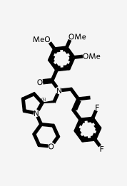 COc1cc(C(=O)N(CC(C)=Cc2ccc(F)cc2F)C[C@@H]2CCCN2C2CCOCC2)cc(OC)c1OC